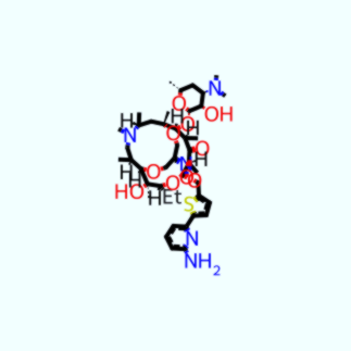 CC[C@H]1OC(=O)[C@H](C)C(=O)[C@H](C)[C@@H](O[C@@H]2O[C@H](C)C[C@H](N(C)C)[C@H]2O)[C@@]2(C)C[C@@H](C)N(C)C[C@H](C)[C@@H](OC/C(=N\OCc3ccc(-c4cccc(N)n4)s3)CO2)[C@]1(C)O